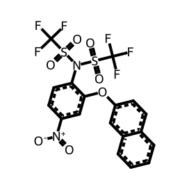 O=[N+]([O-])c1ccc(N(S(=O)(=O)C(F)(F)F)S(=O)(=O)C(F)(F)F)c(Oc2ccc3ccccc3c2)c1